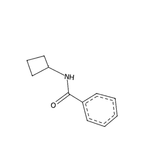 O=C(N[C]1CCC1)c1ccccc1